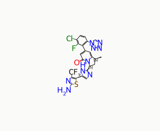 C[C@H]1C[C@@H](c2ncc(-c3sc(N)nc3C(F)(F)F)[nH]2)n2c1cc(-c1c(-n3cnnn3)ccc(Cl)c1F)cc2=O